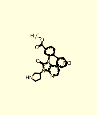 COC(=O)c1ccc(-c2ccccc2)c(-n2c(=O)n(C3CCNC3)c3ncccc32)c1.Cl